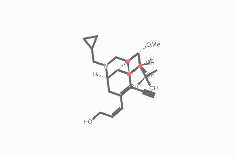 C#CC1=C(/C=C\CO)C[C@H]2N(CC3CC3)CC[C@@]13[C@@H](O)[C@]1(OC)CC[C@@]23C[C@@H]1[C@](C)(O)C(C)(C)C